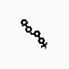 FC(F)(F)c1ccc(-c2cccc(CN3CCN(c4ncccn4)CC3)c2)cc1